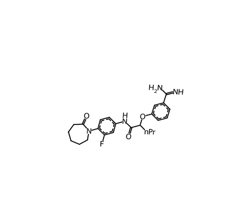 CCCC(Oc1cccc(C(=N)N)c1)C(=O)Nc1ccc(N2CCCCCC2=O)c(F)c1